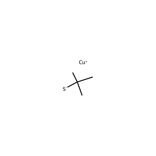 CC(C)(C)[S-].[Cu+]